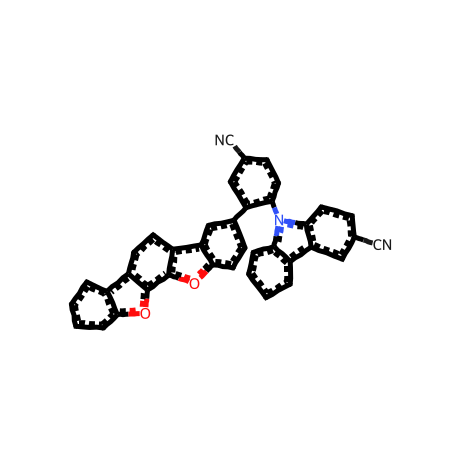 N#Cc1ccc(-n2c3ccccc3c3cc(C#N)ccc32)c(-c2ccc3oc4c(ccc5c6ccccc6oc54)c3c2)c1